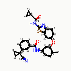 Cc1ccc(NC(=O)c2cccc(C3(C#N)CC3)c2)cc1Oc1ccc2nc(NC(=O)C3CC3)sc2c1